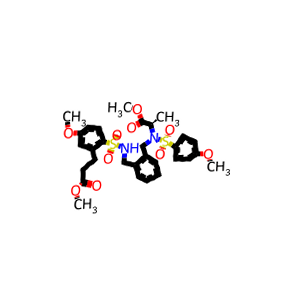 COC(=O)CCc1cc(OC)ccc1S(=O)(=O)NCc1ccccc1CN([C@@H](C)C(=O)OC)S(=O)(=O)c1ccc(OC)cc1